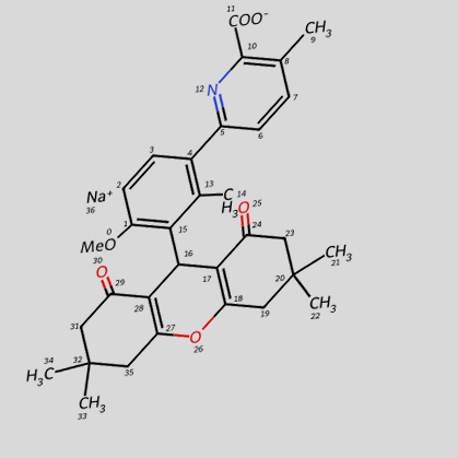 COc1ccc(-c2ccc(C)c(C(=O)[O-])n2)c(C)c1C1C2=C(CC(C)(C)CC2=O)OC2=C1C(=O)CC(C)(C)C2.[Na+]